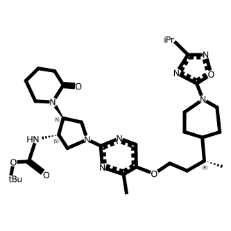 Cc1nc(N2C[C@H](NC(=O)OC(C)(C)C)[C@@H](N3CCCCC3=O)C2)ncc1OCC[C@@H](C)C1CCN(c2nc(C(C)C)no2)CC1